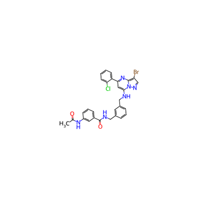 CC(=O)Nc1cccc(C(=O)NCc2cccc(CNc3cc(-c4ccccc4Cl)nc4c(Br)cnn34)c2)c1